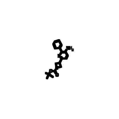 CC(C)(C)OC(=O)N1CC(c2ccc(N)c(-c3ccccc3)n2)C1